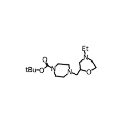 CCN1CCOC(CN2CCN(C(=O)OC(C)(C)C)CC2)C1